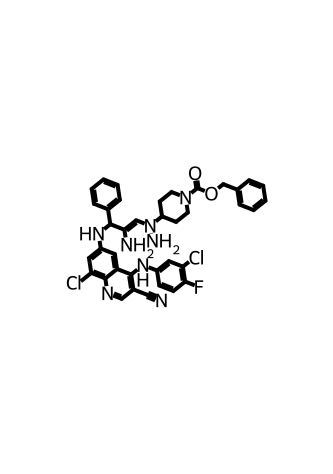 N#Cc1cnc2c(Cl)cc(NC(/C(N)=C/N(N)C3CCN(C(=O)OCc4ccccc4)CC3)c3ccccc3)cc2c1Nc1ccc(F)c(Cl)c1